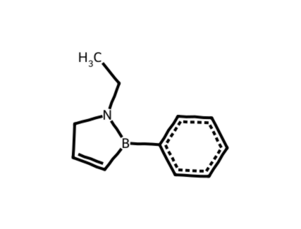 CCN1CC=CB1c1ccccc1